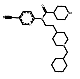 N#Cc1ccc(N(CCC2CCN(CC3CCCCC3)CC2)C(=O)C2CCNCC2)nc1